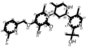 CC1=CN[C@@H](c2nc(C(C)(C)O)ncc2C)C[C@H]1n1c(C)cc(OCc2cccc(F)n2)c(Br)c1=O